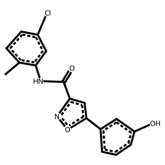 Cc1ccc(Cl)cc1NC(=O)c1cc(-c2cccc(O)c2)on1